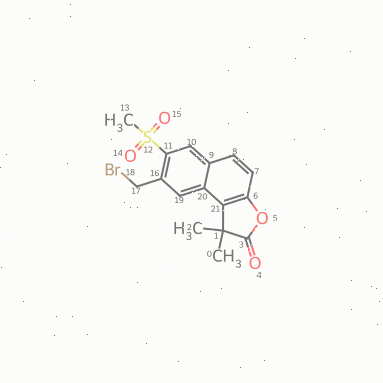 CC1(C)C(=O)Oc2ccc3cc(S(C)(=O)=O)c(CBr)cc3c21